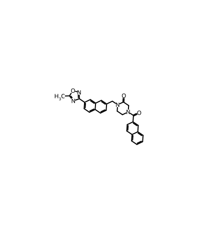 Cc1nc(-c2ccc3ccc(CN4CCN(C(=O)c5ccc6ccccc6c5)CC4=O)cc3c2)no1